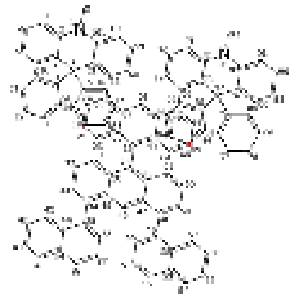 CN1c2ccccc2C(c2ccccc2)(c2ccccc2)c2c(-c3cccc4c(-c5c6cccc(-c7cccc8ccccc78)c6cc6c(-c7cccc8ccccc78)cccc56)c5cccc(-c6cccc7c6C(c6ccccc6)(c6ccccc6)c6ccccc6N7C)c5cc34)cccc21